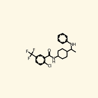 CC(Nc1ccccc1)C1CCC(NC(=O)c2cc(C(F)(F)F)ccc2Cl)CC1